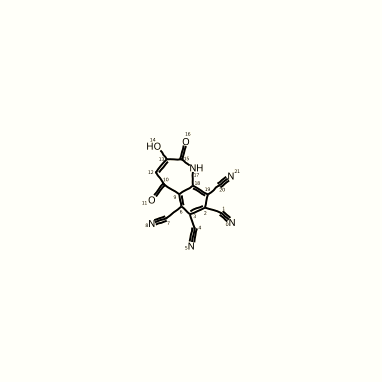 N#Cc1c(C#N)c(C#N)c2c(=O)cc(O)c(=O)[nH]c2c1C#N